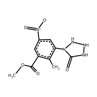 COC(=O)c1cc([N+](=O)[O-])cc(N2NNNC2=O)c1C